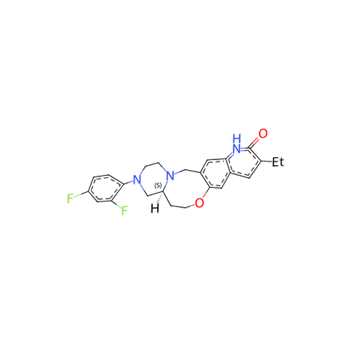 CCc1cc2cc3c(cc2[nH]c1=O)CN1CCN(c2ccc(F)cc2F)C[C@@H]1CCO3